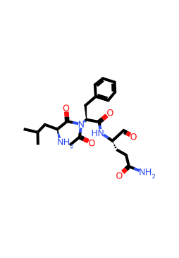 CC(=O)N(C(=O)[C@@H](N)CC(C)C)[C@@H](Cc1ccccc1)C(=O)N[C@H](C=O)CCC(N)=O